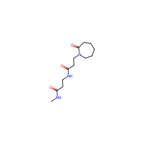 CNC(=O)CCNC(=O)CCN1CCCCCC1=O